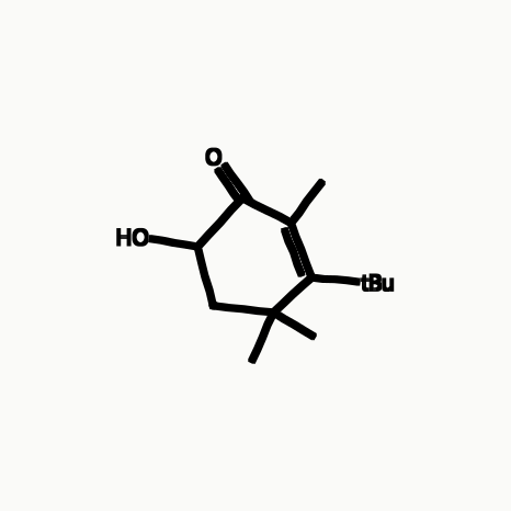 CC1=C(C(C)(C)C)C(C)(C)CC(O)C1=O